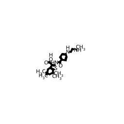 CNCCNc1ccc(C(=O)Nc2sc3c(c2C(=O)O)CC(C)(C)CC3(C)C)cc1